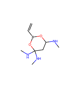 C=CB1OC(NC)CC(NC)(NC)O1